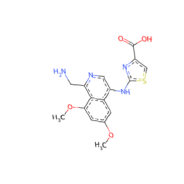 COc1cc(OC)c2c(CN)ncc(Nc3nc(C(=O)O)cs3)c2c1